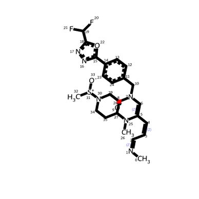 C\N=C/C=C\C(=C\N(C=O)Cc1ccc(-c2nnc(C(F)F)o2)cc1)N(C)C1CCN([S+](C)[O-])CC1